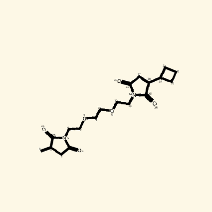 CC1CC(=O)N(CCOCCOCCN2C(=O)CC(C3CCC3)C2=O)C1=O